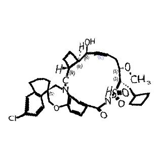 CO[C@H]1C/C=C/[C@H](O)[C@@H]2CC[C@H]2CN2C[C@@]3(CCCc4cc(Cl)ccc43)COc3ccc(cc32)C(=O)NS(=O)(=O)[C@H]1CC1CCC1